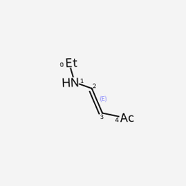 CCN/C=C/C(C)=O